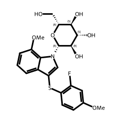 COc1ccc(Sc2cn([C@@H]3O[C@H](CO)[C@@H](O)[C@H](O)[C@H]3O)c3c(OC)cccc23)c(F)c1